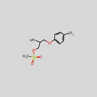 CCCC(COc1ccc(C(F)(F)F)cc1)COS(C)(=O)=O